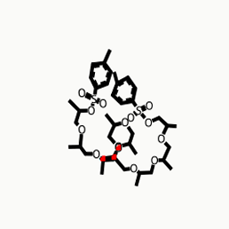 Cc1ccc(S(=O)(=O)OCC(C)OCC(C)OCC(C)OCC(C)OCC(C)OCC(C)OCC(C)OCC(C)OCC(C)OS(=O)(=O)c2ccc(C)cc2)cc1